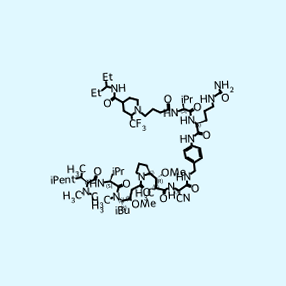 CCCC(C)C(C)[C@@H](C(=O)N[C@H](C(=O)N(C)[C@@H]([C@@H](C)CC)[C@@H](CC(=O)N1CCC[C@H]1[C@H](OC)[C@@H](C)C(=O)N[C@@H](C#N)C(=O)NCc1ccc(NC(=O)[C@H](CCCNC(N)=O)NC(=O)[C@@H](NC(=O)CCCN2CCC(C(=O)NC(CC)CC)CC2C(F)(F)F)C(C)C)cc1)OC)C(C)C)N(C)C